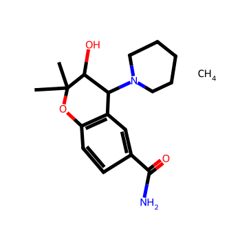 C.CC1(C)Oc2ccc(C(N)=O)cc2C(N2CCCCC2)C1O